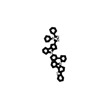 c1ccc(-c2nnc(-c3ccc4c(c3)c3ccccc3n4-c3cccc(-c4ccccc4-n4c5ccccc5c5c6sc7ccccc7c6ccc54)c3)n2-c2ccccc2)cc1